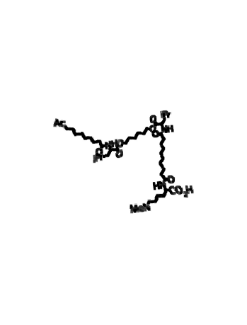 CNCCCCC(NC(=O)CCCCCCCCC(=O)NC(CC(C)C)C(=O)OCCCCCCOC(=O)C(CC(C)C)NC(=O)CCCCCCCCC(C)=O)C(=O)O